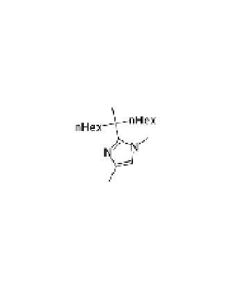 CCCCCCC(C)(CCCCCC)c1nc(C)cn1C